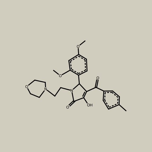 COc1ccc(C2C(C(=O)c3ccc(C)cc3)=C(O)C(=O)N2CCN2CCOCC2)c(OC)c1